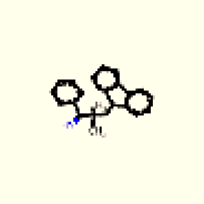 CC(C)(CC1c2ccccc2-c2ccccc21)C(=N)c1ccccc1